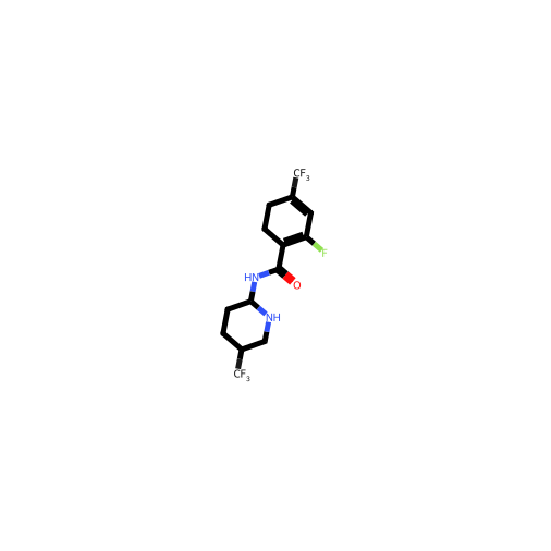 O=C(NC1CCC(C(F)(F)F)CN1)C1=C(F)C=C(C(F)(F)F)CC1